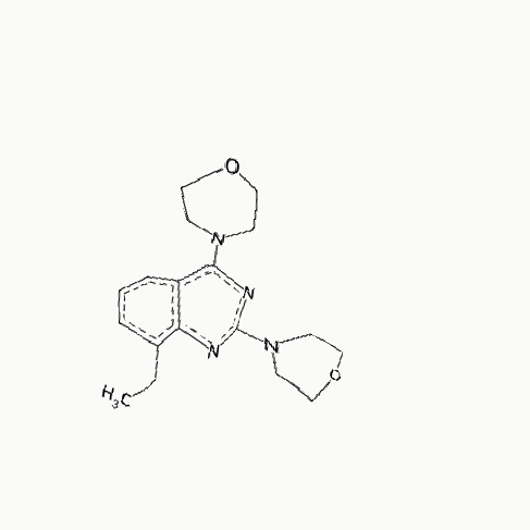 CCc1cccc2c(N3CCOCC3)nc(N3CCOCC3)nc12